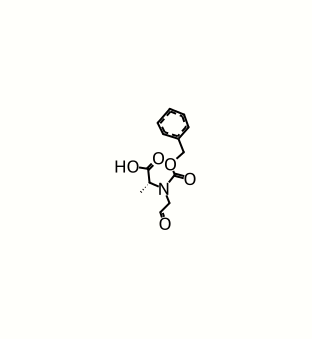 C[C@H](C(=O)O)N(CC=O)C(=O)OCc1ccccc1